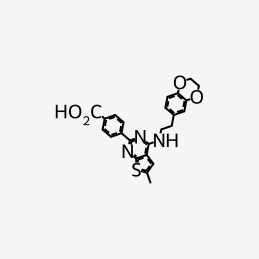 Cc1cc2c(NCCc3ccc4c(c3)OCCO4)nc(-c3ccc(C(=O)O)cc3)nc2s1